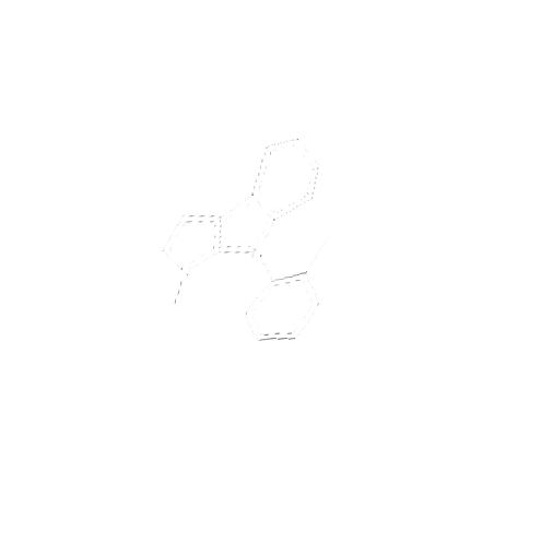 Cc1ccccc1-n1c2ccccc2c2ccn(C)c21